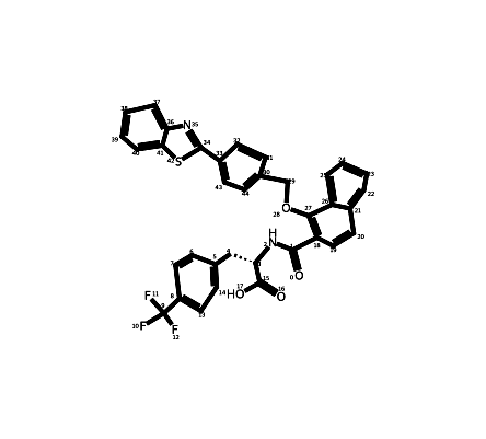 O=C(N[C@@H](Cc1ccc(C(F)(F)F)cc1)C(=O)O)c1ccc2ccccc2c1OCc1ccc(-c2nc3ccccc3s2)cc1